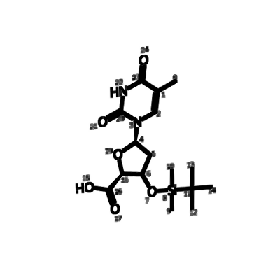 Cc1cn([C@H]2CC(O[Si](C)(C)C(C)(C)C)[C@@H](C(=O)O)O2)c(=O)[nH]c1=O